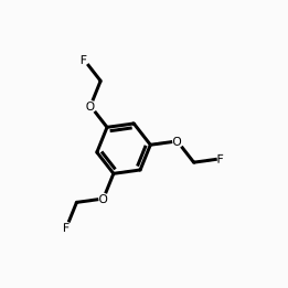 FCOc1cc(OCF)cc(OCF)c1